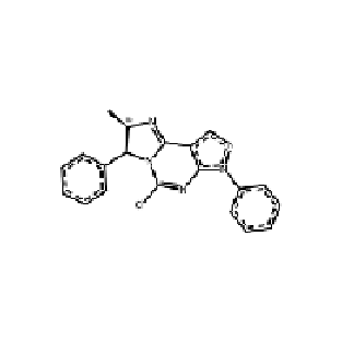 C[C@H]1N=C2c3cnn(-c4ccccc4)c3N=C(Cl)N2C1c1ccccc1